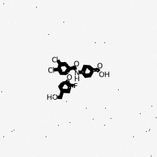 O=C(O)c1ccc(NC(=O)c2cc(Cl)c(Cl)cc2Oc2ccc(CO)cc2F)cc1